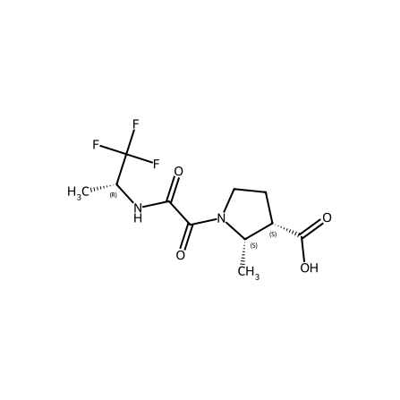 C[C@H]1[C@@H](C(=O)O)CCN1C(=O)C(=O)N[C@H](C)C(F)(F)F